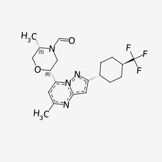 Cc1cc([C@H]2CN(C=O)[C@@H](C)CO2)n2nc([C@H]3CC[C@H](C(F)(F)F)CC3)cc2n1